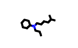 CCCN(CCCCC(C)C)C1CCCCC1